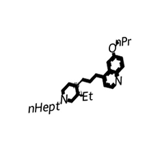 CCCCCCCN1CC[C@@H](CCCc2ccnc3ccc(OCCC)cc23)[C@@H](CC)C1